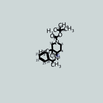 CC(/N=C1/CCN(C(=O)OC(C)(C)C)CC1(C)C)c1ccccc1